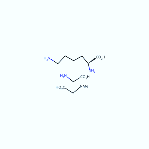 CNCC(=O)O.NCC(=O)O.NCCCC[C@H](N)C(=O)O